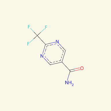 NC(=O)c1cnc(C(F)(F)F)nc1